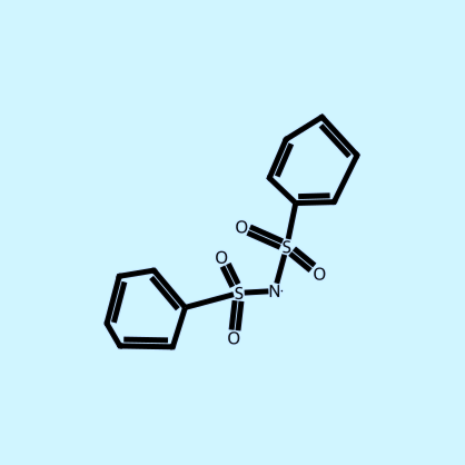 O=S(=O)([N]S(=O)(=O)c1ccccc1)c1ccccc1